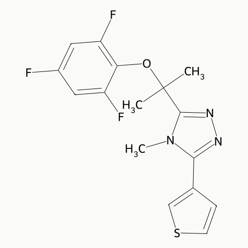 Cn1c(-c2ccsc2)nnc1C(C)(C)Oc1c(F)cc(F)cc1F